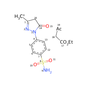 CC1=NN(c2ccc(S(N)(=O)=O)cc2)C(=O)C1.CCOC(=O)CC(C)=O